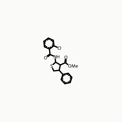 COC(=O)C1C(NC(=O)c2ccccc2Cl)SCC1c1ccccc1